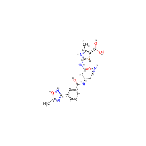 Cc1nc(-c2cccc(C(=O)NC(CC#N)CC(=O)Nc3nc(C)c(C(=O)O)s3)c2)no1